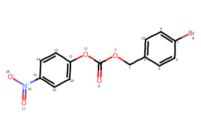 O=C(OCc1ccc(Br)cc1)Oc1ccc([N+](=O)[O-])cc1